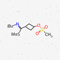 CCC(C)/N=C(\SC)C1CC(OS(C)(=O)=O)C1